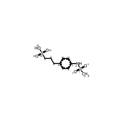 CS(=O)(=O)Nc1ccc(CCCS(=O)(=O)O)cc1